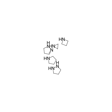 C1=NNCC1.C1CCNC1.C1CN1.C1CNC1.C1CNNC1